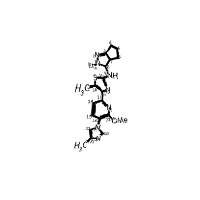 CCN1N=C2CCCC2C1Nc1nc(-c2ccc(-n3cnc(C)c3)c(OC)n2)c(C)s1